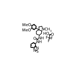 COc1ccc(C23CCC(NC(=O)Nc4cccc5nsnc45)CC2N(C)CC3)cc1OC.O=C(O)C(F)(F)F